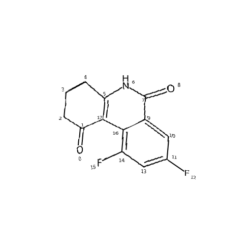 O=C1CCCc2[nH]c(=O)c3cc(F)cc(F)c3c21